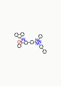 c1ccc(-c2ccc(-c3nc(-c4ccccc4)nc(-c4ccc(-c5ccc6c(c5)nc(-c5cc7ccccc7c7ccccc57)c5oc7ccccc7c56)cc4)n3)cc2)cc1